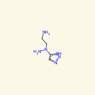 NCCN(N)c1cnn[nH]1